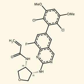 C=CC(=O)N[C@H]1COC[C@H]1Nc1ncc2cc(-c3c(Cl)c(OC)cc(OC)c3Cl)cc(F)c2n1